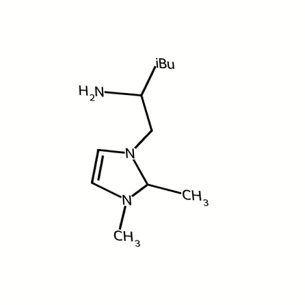 CCC(C)C(N)CN1C=CN(C)C1C